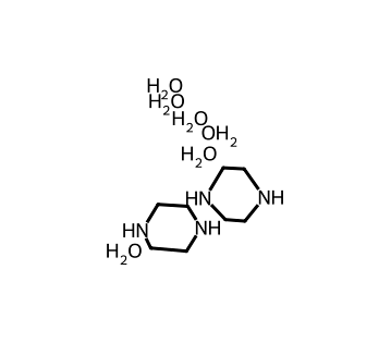 C1CNCCN1.C1CNCCN1.O.O.O.O.O.O